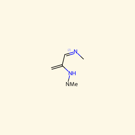 C=C(/C=N\C)NNC